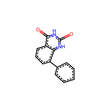 O=c1[nH]c(=O)c2cccc(-c3ccccc3)c2[nH]1